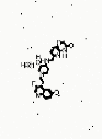 COc1ccc2ncc(F)c(CCN3CCC(NCc4ccc5c(n4)NC(=O)CO5)C(O)C3)c2c1.Cl.Cl